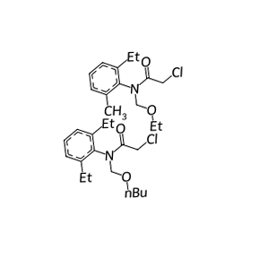 CCCCOCN(C(=O)CCl)c1c(CC)cccc1CC.CCOCN(C(=O)CCl)c1c(C)cccc1CC